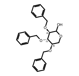 OC1OC[C@@H](OCc2ccccc2)[C@H](OCc2ccccc2)[C@H]1OCc1ccccc1